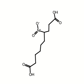 O=C(O)CCCCCC(CCC(=O)O)[N+](=O)[O-]